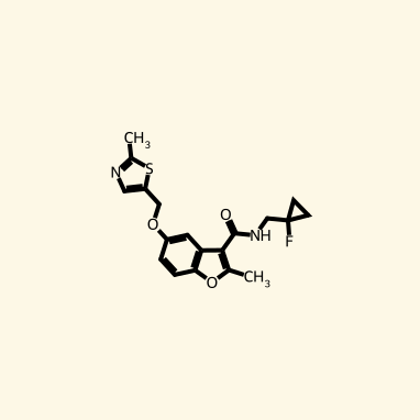 Cc1ncc(COc2ccc3oc(C)c(C(=O)NCC4(F)CC4)c3c2)s1